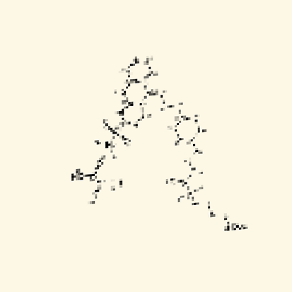 CCCCCCCCCCCCCCC(C)(C)C(=O)OCCC1CCN(CCCN2c3ccccc3Sc3cc(S(=O)(=O)N(C)C)ccc32)CC1.O=C(O)C(=O)O